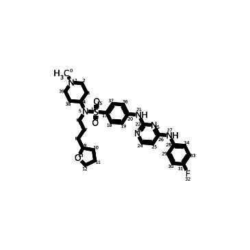 CN1CCC(N(CCCC2CCCO2)S(=O)(=O)c2ccc(Nc3nccc(Nc4ccc(F)cc4)n3)cc2)CC1